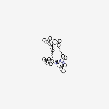 COC/C=C1/C(=O)N2C(C\C=N/C1=C/COCCCCCOC1=C(OC)C#CC3C(=O)N4C(CC5CC=CC54)CN(C(C)(C)SSCCCC(O)ON4C(=O)CCC4=O)C3=C1)CC1C=CC=CC12